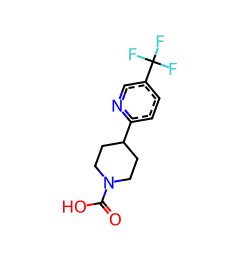 O=C(O)N1CCC(c2ccc(C(F)(F)F)cn2)CC1